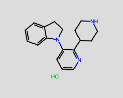 Cl.c1ccc2c(c1)CCN2c1cccnc1C1CCNCC1